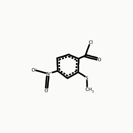 CSc1cc([N+](=O)[O-])ccc1C(=O)Cl